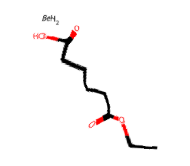 CCOC(=O)CCCCC(=O)O.[BeH2]